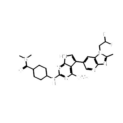 COc1nc(NC2CCC(C(=O)N(C)C)CC2)nc2[nH]cc(-c3cnc4nc(C)n(CC(F)F)c4c3)c12